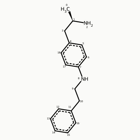 C[C@@H](N)Cc1ccc(NCCc2ccccc2)cc1